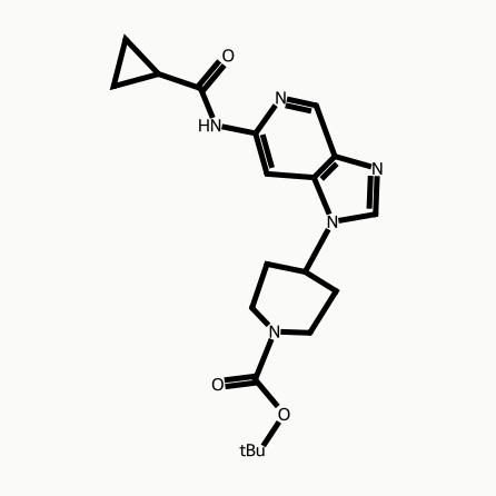 CC(C)(C)OC(=O)N1CCC(n2cnc3cnc(NC(=O)C4CC4)cc32)CC1